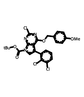 COc1ccc(COc2nc(Cl)nc3c2c(-c2cccc(Cl)c2Cl)cn3C(=O)OC(C)(C)C)cc1